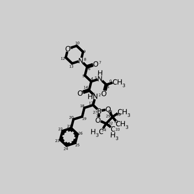 CC(=O)NC(CC(=O)N1CCOCC1)C(=O)NC(CCCc1ccccc1)B1OC(C)(C)C(C)(C)O1